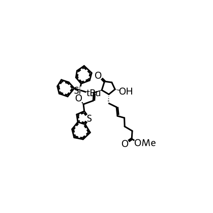 COC(=O)CCC/C=C/C[C@H]1[C@@H](O)CC(=O)[C@@H]1/C=C/[C@@H](O[Si](c1ccccc1)(c1ccccc1)C(C)(C)C)c1cc2ccccc2s1